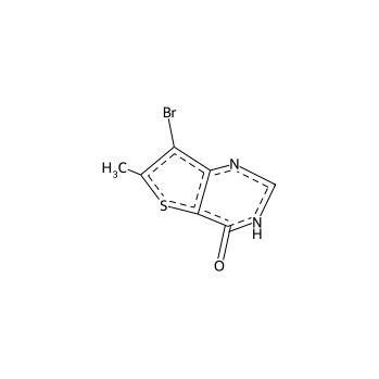 Cc1sc2c(=O)[nH]cnc2c1Br